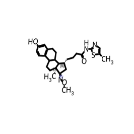 CO/N=C1\C[C@@H](CCCC(=O)Nc2ncc(C)s2)C2C3CCc4cc(O)ccc4C3CC[C@]12C